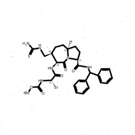 CC[C@H](NC(=O)OC(C)(C)C)C(=O)N[C@@H]1C(=O)N2[C@@H](CC[C@@H]1CNC(N)=S)CC[C@H]2C(=O)NC(c1ccccc1)c1ccccc1